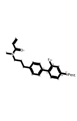 C=CC(=O)N(C)CCCc1ccc(-c2ccc(CCCCC)cc2F)cc1